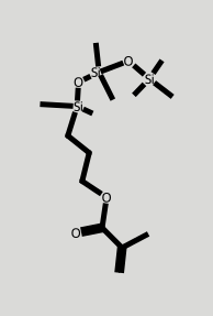 C=C(C)C(=O)OCCC[Si](C)(C)O[Si](C)(C)O[Si](C)(C)C